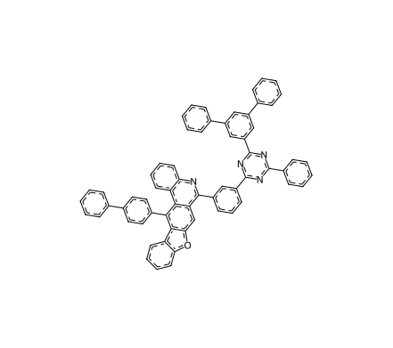 c1ccc(-c2ccc(-c3c4c(cc5c(-c6cccc(-c7nc(-c8ccccc8)nc(-c8cc(-c9ccccc9)cc(-c9ccccc9)c8)n7)c6)nc6ccccc6c35)oc3ccccc34)cc2)cc1